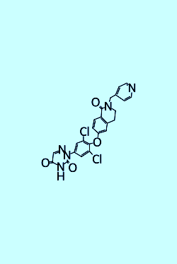 O=C1c2ccc(Oc3c(Cl)cc(-n4ncc(=O)[nH]c4=O)cc3Cl)cc2CCN1Cc1ccncc1